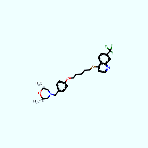 C[C@@H]1CN(Cc2ccc(OCCCCCSc3ccnc4cc(C(F)(F)F)ccc34)cc2)C[C@H](C)O1